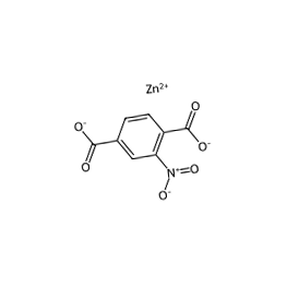 O=C([O-])c1ccc(C(=O)[O-])c([N+](=O)[O-])c1.[Zn+2]